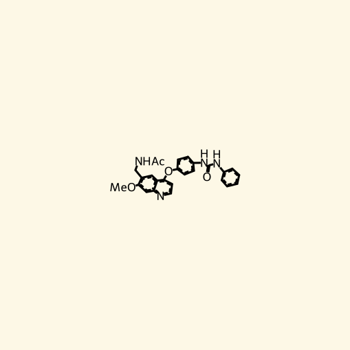 COc1cc2nccc(Oc3ccc(NC(=O)Nc4ccccc4)cc3)c2cc1CNC(C)=O